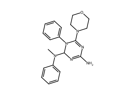 CN(c1ccccc1)C1N=C(N)N=C(N2CCOCC2)N1c1ccccc1